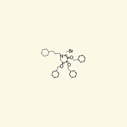 BrC[C@@H]1[C@@H](OCc2ccccc2)[C@H](OCc2ccccc2)[C@@H](OCc2ccccc2)CN1CCCC1CCCCC1